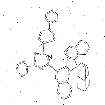 c1ccc(-c2ccc(-c3nc(-c4ccccc4)nc(-c4cc5ccccc5c5c4-c4ccc6ccccc6c4C54C5CC6CC(C5)CC4C6)n3)cc2)cc1